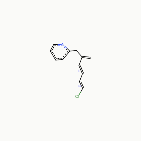 C=C(/C=C/C=C/Cl)Cc1ccccn1